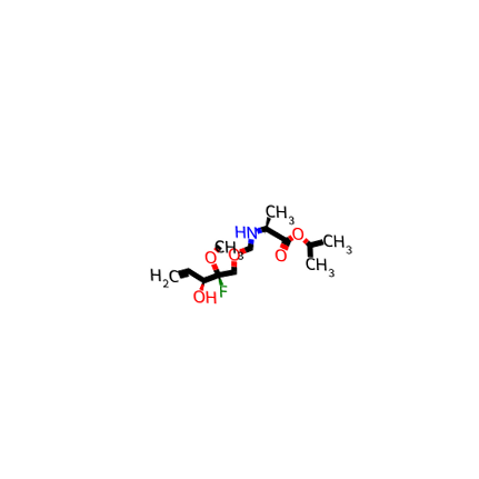 C=C[C@H](O)[C@@](F)(COCN[C@@H](C)C(=O)OC(C)C)OC